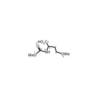 COCCC(NC(=O)OC)C(=O)O